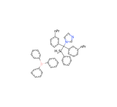 CCCc1cccc(C([SiH2]c2ccccc2)(c2cccc(CCC)c2)n2ccnc2)c1.c1ccc(B(c2ccccc2)c2ccccc2)cc1